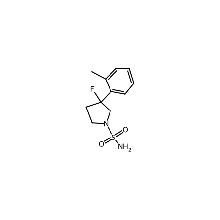 Cc1ccccc1C1(F)CCN(S(N)(=O)=O)C1